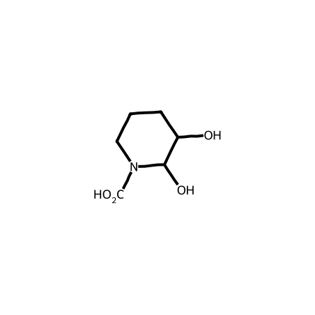 O=C(O)N1CCCC(O)C1O